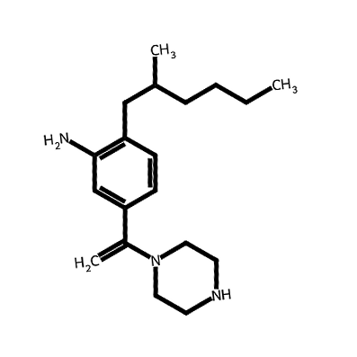 C=C(c1ccc(CC(C)CCCC)c(N)c1)N1CCNCC1